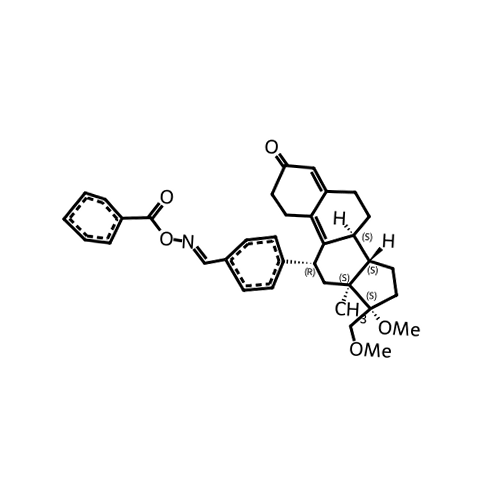 COC[C@]1(OC)CC[C@H]2[C@@H]3CCC4=CC(=O)CCC4=C3[C@@H](c3ccc(C=NOC(=O)c4ccccc4)cc3)C[C@@]21C